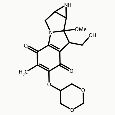 COC12C(CO)C3=C(C(=O)C(C)=C(OC4COCOC4)C3=O)N1CC1NC12